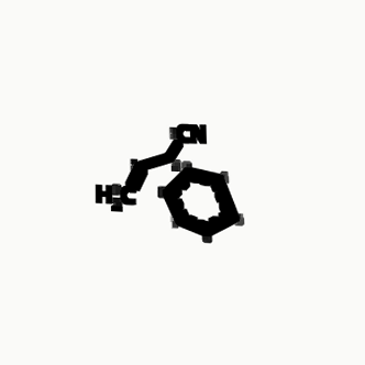 C=CCC#N.c1ccccc1